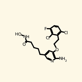 Nc1ncc(CCCCC(=O)NO)cc1OCCc1c(Cl)ccc(F)c1Cl